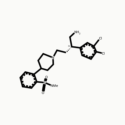 CNS(=O)(=O)c1ccccc1C1CCN(CC[C@H](CN)c2ccc(Cl)c(Cl)c2)CC1